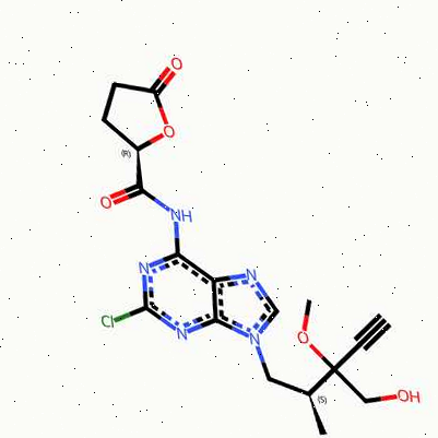 C#CC(CO)(OC)[C@@H](C)Cn1cnc2c(NC(=O)[C@H]3CCC(=O)O3)nc(Cl)nc21